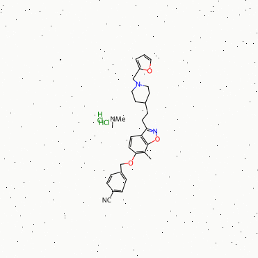 CNC.Cc1c(OCc2ccc(C#N)cc2)ccc2c(CCC3CCN(Cc4ccco4)CC3)noc12.Cl.Cl